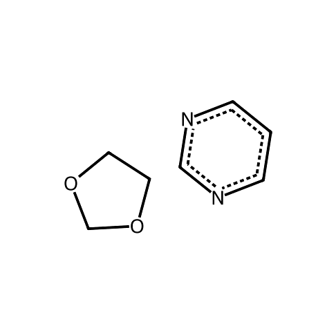 C1COCO1.c1cncnc1